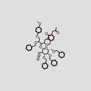 COc1ccc(OCC(OCc2ccccc2)C(O[C@@H]2O[C@H](COCc3ccccc3)[C@@H](OCc3ccccc3)[C@H](OCc3ccccc3)[C@H]2N=[N+]=[N-])C(COC(=O)CCC(C)=O)OCc2ccccc2)cc1